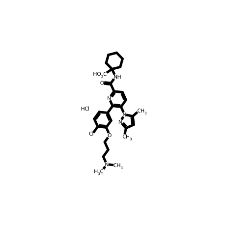 Cc1cc(C)n(-c2ccc(C(=O)NC3(C(=O)O)CCCCC3)nc2-c2ccc(Cl)c(OCCCN(C)C)c2)n1.Cl